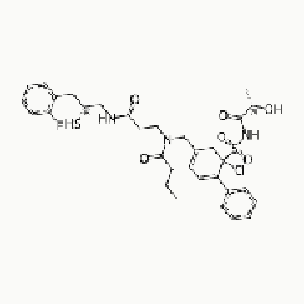 CCCC(=O)N(CCC(=O)NC[C@H](S)Cc1ccccc1F)CC1=CC=C(c2ccccc2)C(Cl)(S(=O)(=O)NC(=O)[C@H](C)O)C1